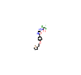 O=C(Nc1cnc(-c2ccc(OCCc3cccs3)cc2)o1)C(F)(F)F